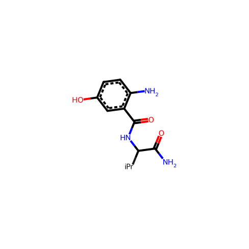 CC(C)C(NC(=O)c1cc(O)ccc1N)C(N)=O